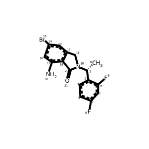 C[C@H](c1ccc(F)cc1F)N1Cc2cc(Br)cc(N)c2C1=O